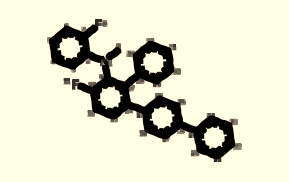 CN(c1ccccc1F)c1c(F)ccc(-c2ccc(-c3ccccc3)cc2)c1-c1ccccc1